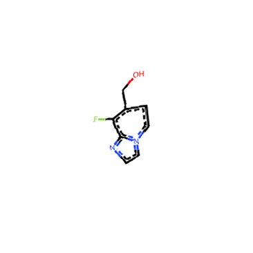 OCc1ccn2ccnc2c1F